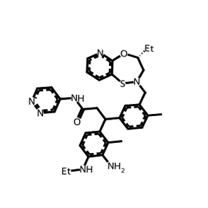 CCNc1ccc(C(CC(=O)Nc2ccnnc2)c2ccc(C)c(CN3C[C@@H](CC)Oc4ncccc4S3)c2)c(C)c1N